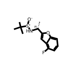 C[C@@H](N[S+]([O-])C(C)(C)C)c1cc2c(F)cccc2o1